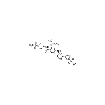 CC(C)Nc1cc(Nc2ccnc(-c3cnn(S(=O)(=O)C4CC4)c3)n2)ncc1C(=O)NC1CCN(S(C)(=O)=O)CC1